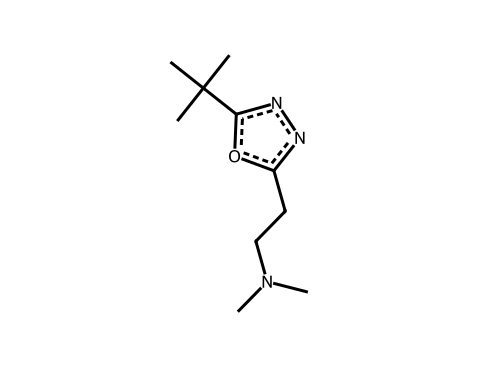 CN(C)CCc1nnc(C(C)(C)C)o1